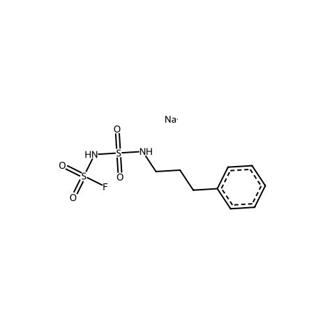 O=S(=O)(F)NS(=O)(=O)NCCCc1ccccc1.[Na]